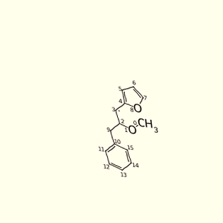 COC([CH]c1ccco1)Cc1ccccc1